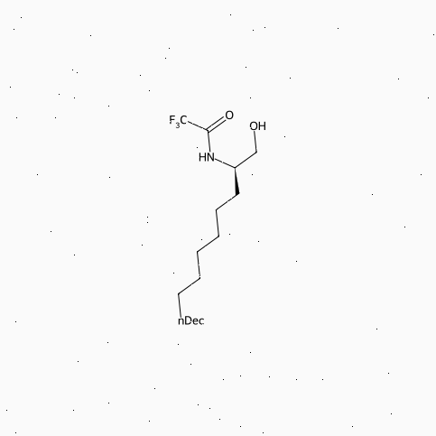 CCCCCCCCCCCCCCCC[C@H](CO)NC(=O)C(F)(F)F